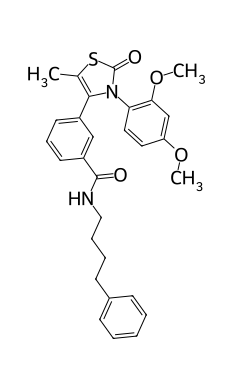 COc1ccc(-n2c(-c3cccc(C(=O)NCCCCc4ccccc4)c3)c(C)sc2=O)c(OC)c1